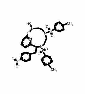 Cc1ccc(S(=O)(=O)N2CCN(S)Cc3cccc(n3)C(Cc3ccc([N+](=O)[O-])cc3)N(S(=O)(=O)c3ccc(C)cc3)CC2)cc1